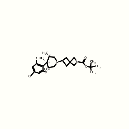 C[C@@H]1CN(C2CC3(C2)CN(C(=O)OC(C)(C)C)C3)C[C@H](C)[C@@]1(O)c1c(F)cc(Cl)cc1F